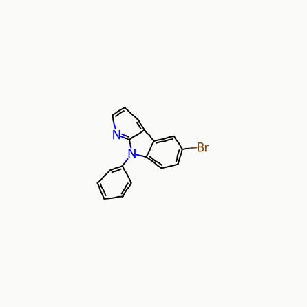 Brc1ccc2c(c1)c1cccnc1n2-c1ccccc1